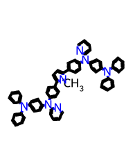 Cn1c(-c2ccc(N(c3ccc(N(c4ccccc4)c4ccccc4)cc3)c3ccccn3)cc2)ccc1-c1ccc(N(c2ccc(N(c3ccccc3)c3ccccc3)cc2)c2ccccn2)cc1